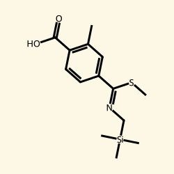 CS/C(=N\C[Si](C)(C)C)c1ccc(C(=O)O)c(C)c1